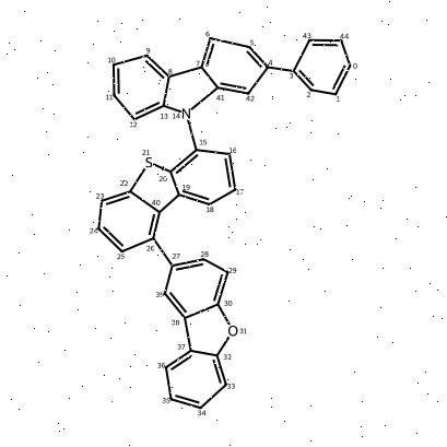 c1ccc(-c2ccc3c4ccccc4n(-c4cccc5c4sc4cccc(-c6ccc7oc8ccccc8c7c6)c45)c3c2)cc1